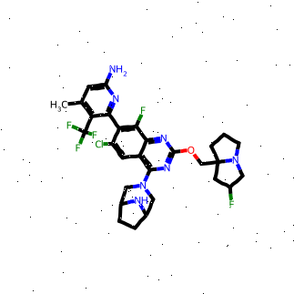 Cc1cc(N)nc(-c2c(Cl)cc3c(N4CC5CCC(C4)N5)nc(OCC45CCCN4CC(F)C5)nc3c2F)c1C(F)(F)F